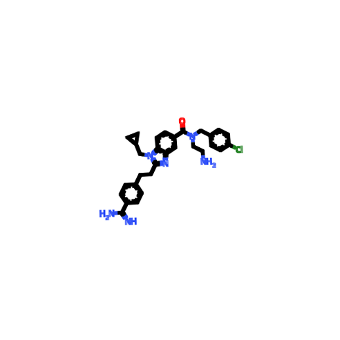 N=C(N)c1ccc(CCc2nc3cc(C(=O)N(CCN)Cc4ccc(Cl)cc4)ccc3n2CC2CC2)cc1